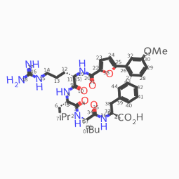 CC[C@H](C)[C@H](NC(=O)[C@H](CC(C)C)NC(=O)[C@H](CCCNC(=N)N)NC(=O)c1ccc(-c2cccc(OC)c2)o1)C(=O)N[C@@H](Cc1ccccc1)C(=O)O